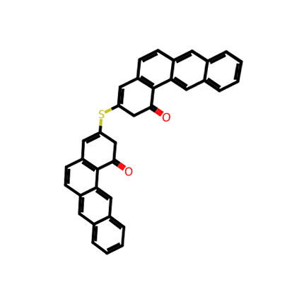 O=C1CC(SC2=Cc3ccc4cc5ccccc5cc4c3C(=O)C2)=Cc2ccc3cc4ccccc4cc3c21